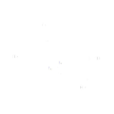 C#CCOc1ccc2c(c1)c(-c1ccc(C(C)C)cc1)nc(=O)n2CCc1cc(OC)cc(OC)c1